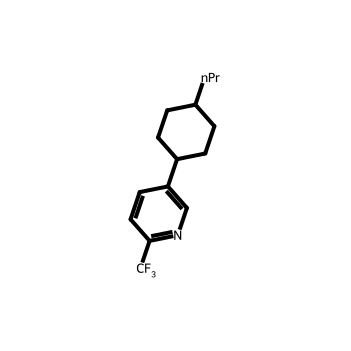 CCCC1CCC(c2ccc(C(F)(F)F)nc2)CC1